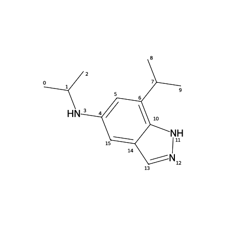 CC(C)Nc1cc(C(C)C)c2[nH]ncc2c1